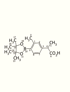 Cc1cc(C(C)C(=O)O)ccc1B1OC(C)(C)C(C)(C)O1